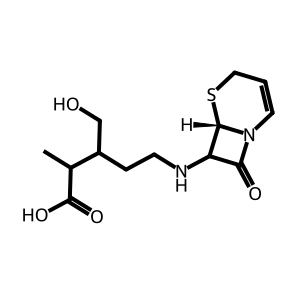 CC(C(=O)O)C(CO)CCNC1C(=O)N2C=CCS[C@@H]12